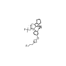 C[C@@H]1Cc2c([nH]c3ccccc23)[C@@H](c2ccc(OC3CN(CCCF)C3)cc2C#N)N1CC(C)(C)F